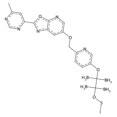 BC(B)(OSI)C(B)(B)Oc1ccc(COc2cnc3oc(-c4cc(C)ncn4)nc3c2)nc1